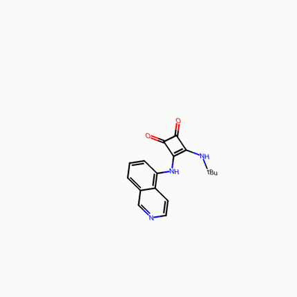 CC(C)(C)Nc1c(Nc2cccc3cnccc23)c(=O)c1=O